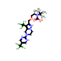 C[C@@H](COCc1nn2c(c1C(F)(F)F)CN(c1ncc(C(F)(F)F)cn1)CC2)N(C(=O)O)C(C)(C)C